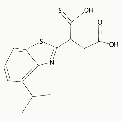 CC(C)c1cccc2sc(C(CC(=O)O)C(O)=S)nc12